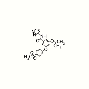 CC(C)Oc1cc(Oc2ccc(S(C)(=O)=O)cc2)cc(C(=O)Nc2nncs2)c1